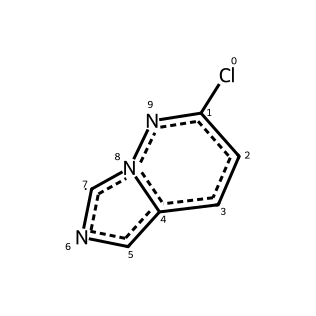 Clc1ccc2cn[c]n2n1